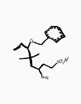 C=CC(OCc1ccccc1)C(C)(C)CC(CCS(=O)(=O)O)NC(C)=O